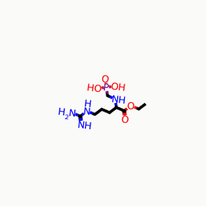 CCOC(=O)C(CCCNC(=N)N)NCP(=O)(O)O